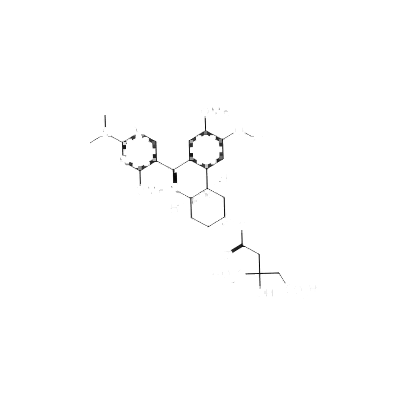 CCOc1cc2c(cc1OC)C(c1cnc(N(C)C)nc1OC)=N[C@@H]1CC[C@@H](OC(=O)CC(O)(CC(=O)O)C(=O)O)C[C@H]21